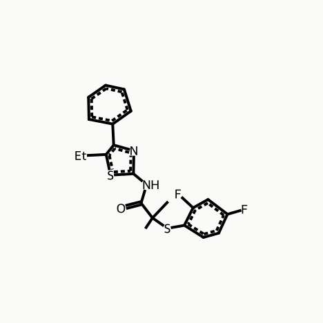 CCc1sc(NC(=O)C(C)(C)Sc2ccc(F)cc2F)nc1-c1ccccc1